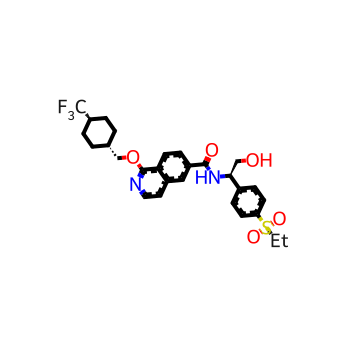 CCS(=O)(=O)c1ccc([C@H](CO)NC(=O)c2ccc3c(OC[C@H]4CC[C@H](C(F)(F)F)CC4)nccc3c2)cc1